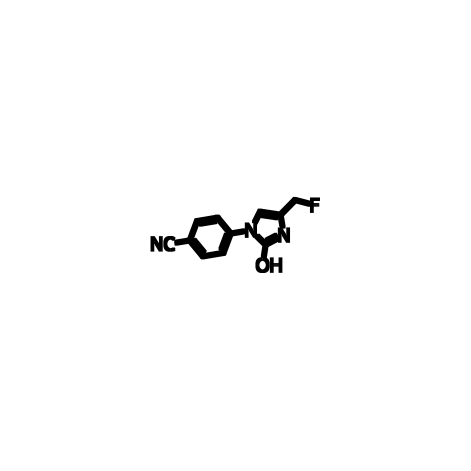 N#Cc1ccc(-n2cc(CF)nc2O)cc1